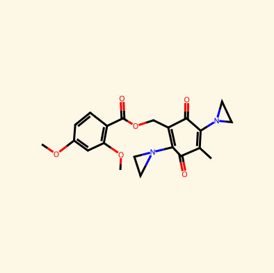 COc1ccc(C(=O)OCC2=C(N3CC3)C(=O)C(C)=C(N3CC3)C2=O)c(OC)c1